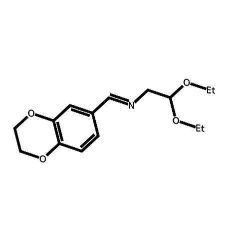 CCOC(C/N=C/c1ccc2c(c1)OCCO2)OCC